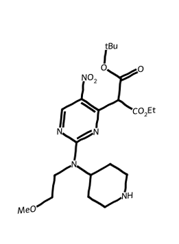 CCOC(=O)C(C(=O)OC(C)(C)C)c1nc(N(CCOC)C2CCNCC2)ncc1[N+](=O)[O-]